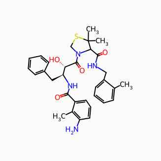 Cc1ccccc1CNC(=O)C1N(C(=O)[C@@H](O)[C@H](Cc2ccccc2)NC(=O)c2cccc(N)c2C)CSC1(C)C